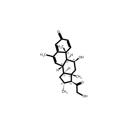 CC1=C[C@@H]2[C@H]([C@@H](O)C[C@@]3(C)[C@H]2C[C@@H](C)[C@@H]3C(=O)CO)[C@@]2(C)C=CC(=O)C=C12